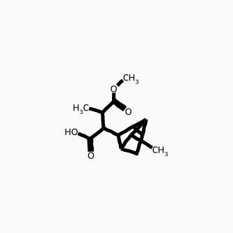 COC(=O)C(C)C(C(=O)O)C1C2CC3C(C2C)C31